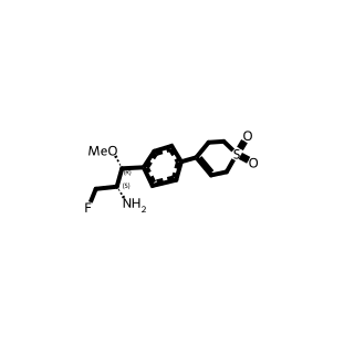 CO[C@H](c1ccc(C2=CCS(=O)(=O)CC2)cc1)[C@H](N)CF